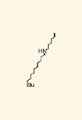 C=CCCCCNCCCCCCCCCCC(C)CC